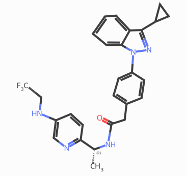 C[C@@H](NC(=O)Cc1ccc(-n2nc(C3CC3)c3ccccc32)cc1)c1ccc(NCC(F)(F)F)cn1